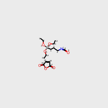 CCO[Si](CCCN=C=O)(OCC)OCC.O=C1C=CC(=O)O1